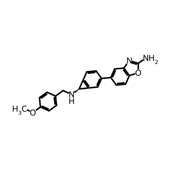 COc1ccc(CN[C@H]2c3ccc(-c4ccc5oc(N)nc5c4)cc32)cc1